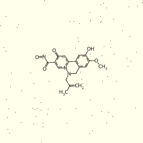 C=C(C)CN1Cc2cc(OC)c(O)cc2-c2cc(=O)c(C(=O)N=O)cn21